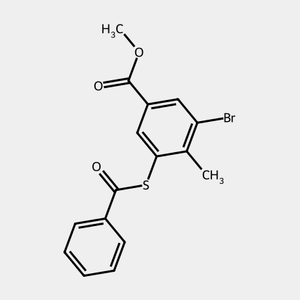 COC(=O)c1cc(Br)c(C)c(SC(=O)c2ccccc2)c1